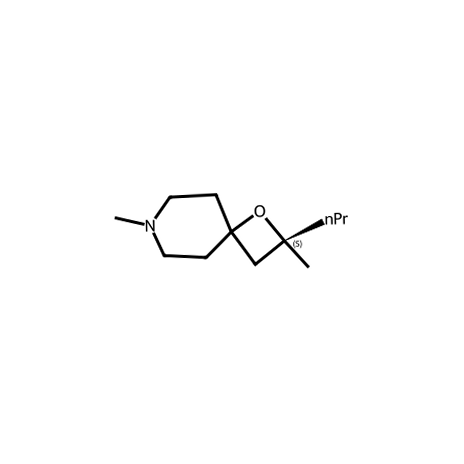 CCC[C@@]1(C)CC2(CCN(C)CC2)O1